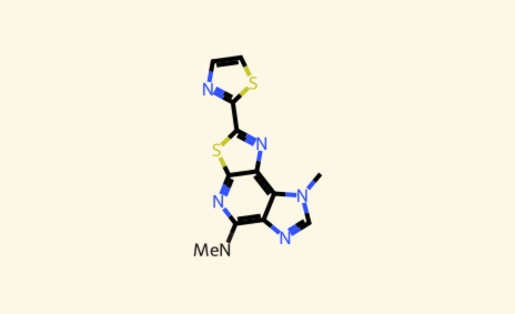 CNc1nc2sc(-c3nccs3)nc2c2c1ncn2C